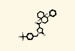 O=C1CC(C(=O)N2CC[C@H](c3ccccc3)[C@H]3CCCC[C@H]32)CN1Cc1ccc(C(F)(F)F)cc1